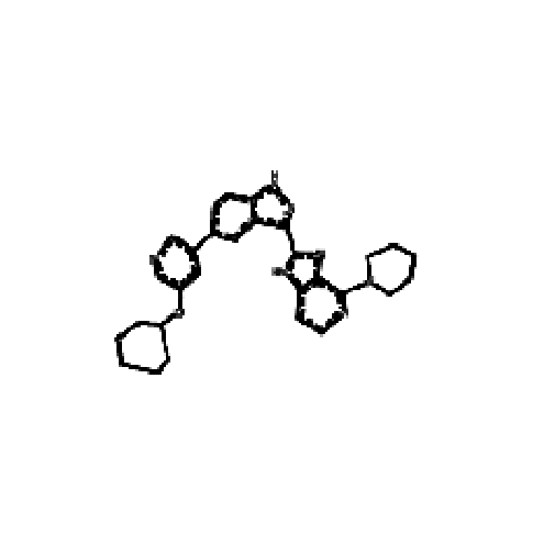 c1cc2[nH]c(-c3n[nH]c4ccc(-c5cncc(OC6CCCCC6)c5)cc34)nc2c(N2CCCCC2)n1